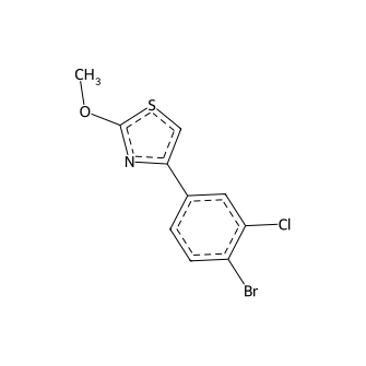 COc1nc(-c2ccc(Br)c(Cl)c2)cs1